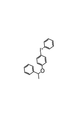 CC(Oc1ccc([I+]c2ccccc2)cc1)c1ccccc1